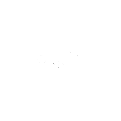 N[C@@H](CCNS(=O)(=O)NCc1cccnc1)C(=O)O